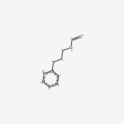 O=COCCCc1ccccn1